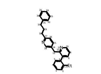 CCc1ccccc1-c1cccnc1Cc1ccc(CCCc2ccccc2)nc1